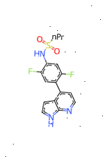 CCCS(=O)(=O)Nc1cc(F)c(-c2ccnc3[nH]ccc23)cc1F